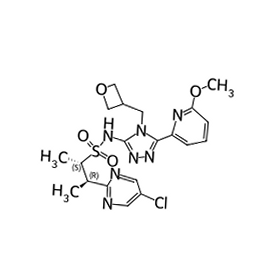 COc1cccc(-c2nnc(NS(=O)(=O)[C@@H](C)[C@H](C)c3ncc(Cl)cn3)n2CC2COC2)n1